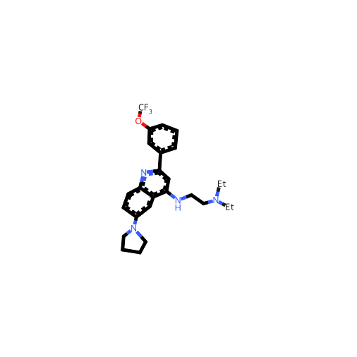 CCN(CC)CCNc1cc(-c2cccc(OC(F)(F)F)c2)nc2ccc(N3CCCC3)cc12